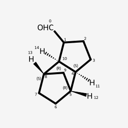 O=CC1CC[C@H]2[C@@H]3CC[C@@H](C3)[C@@H]12